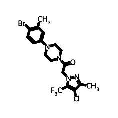 Cc1cc(N2CCN(C(=O)Cn3nc(C)c(Cl)c3C(F)(F)F)CC2)ccc1Br